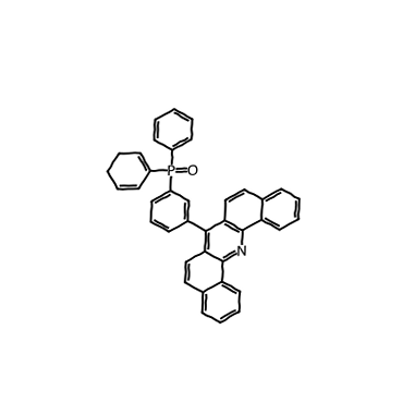 O=P(C1=CCCC=C1)(c1ccccc1)c1cccc(-c2c3ccc4ccccc4c3nc3c2ccc2ccccc23)c1